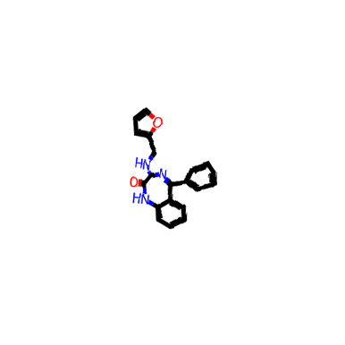 O=C1Nc2ccccc2C(c2ccccc2)=NC1NCc1ccco1